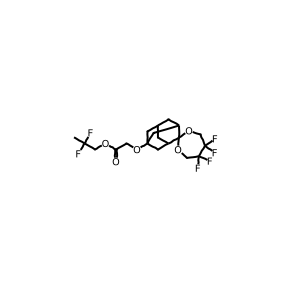 CC(F)(F)COC(=O)COC12CC3CC(C1)C1(OCC(F)(F)C(F)(F)CO1)C(C3)C2